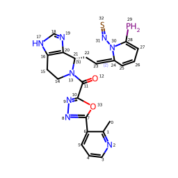 Cc1ncccc1-c1nnc(C(=O)N2CCc3[nH]cnc3[C@@H]2C/C=C2/C=CC=C(P)N2N=S)o1